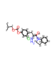 CC(C)COC(=O)Oc1ccc(C[C@H](N)C(=O)N2CCc3ccccc32)c(Cl)c1